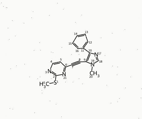 CSc1nccc(C#Cc2c(-c3ccccc3)ncn2C)n1